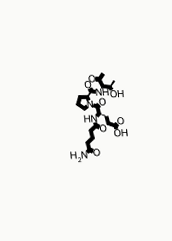 CC(=O)[C@@H](NC(=O)[C@@H]1CCCN1C(=O)[C@H](CCC(=O)O)NC(=O)CCCC(N)=O)[C@@H](C)O